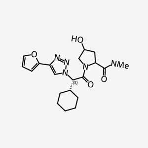 CNC(=O)C1CC(O)CN1C(=O)[C@H](C1CCCCC1)n1cc(-c2ccco2)nn1